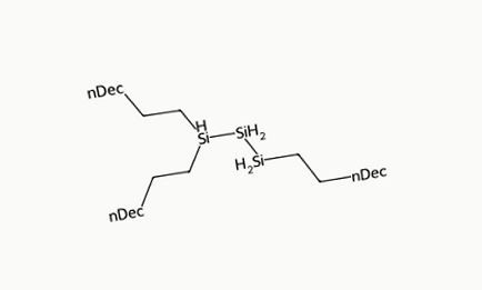 CCCCCCCCCCCC[SiH2][SiH2][SiH](CCCCCCCCCCCC)CCCCCCCCCCCC